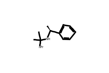 CCCC(C)(C)N[C@@H](C)c1ccccc1